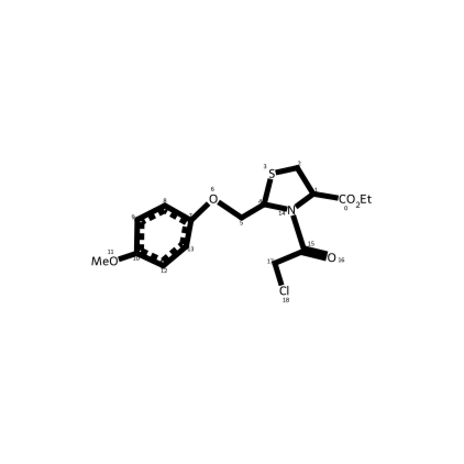 CCOC(=O)C1CSC(COc2ccc(OC)cc2)N1C(=O)CCl